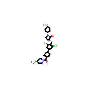 O=C(c1ccc(-c2cc(Cl)c(C[C@@H]3CCN([C@H]4CC[C@H](O)CC4)C3=O)c(Cl)c2)cc1)N1CCC(C(F)(F)F)CC1